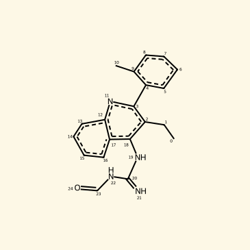 CCc1c(-c2ccccc2C)nc2ccccc2c1NC(=N)NC=O